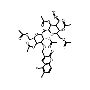 CC(=O)OCC1O[C@@H](S[C@@H]2O[C@H](COC(C)=O)C(OC(C)=O)C(OCc3cc4c(F)c(F)ccc4oc3=O)[C@H]2OC(C)=O)C(OC(C)=O)C(N=[N+]=[N-])[C@H]1OC(C)=O